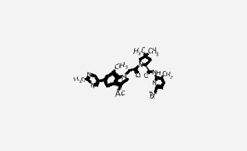 CC(=O)c1cn(CC(=O)N2CC(C)(C)C[C@H]2C(=O)Nc2nc(Br)ccc2C)c2c(C)cc(-c3cnc(C)nc3)cc12